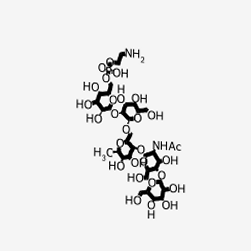 CC(=O)N[C@H]1C(O)[C@@H](O[C@H]2OC(CO)[C@@H](O)[C@H](O)C2O)C(CO)O[C@H]1O[C@@H]1C(CO[C@H]2OC(CO)[C@@H](O)C(O)[C@H]2O[C@H]2OC(COP(=O)(O)OCCN)[C@@H](O)C(O)[C@H]2O)O[C@H](C)[C@H](O)C1O